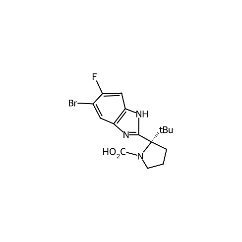 CC(C)(C)[C@]1(c2nc3cc(Br)c(F)cc3[nH]2)CCCN1C(=O)O